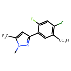 Cn1nc(-c2cc(C(=O)O)c(Cl)cc2F)cc1C(F)(F)F